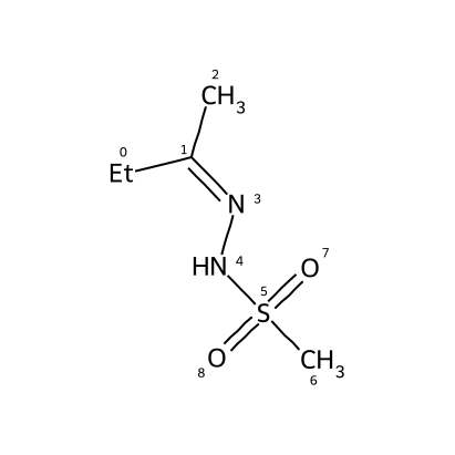 CC/C(C)=N\NS(C)(=O)=O